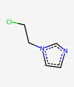 ClCCn1[c]cnc1